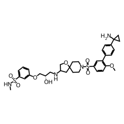 CNS(=O)(=O)c1cccc(OC[C@@H](O)CNC2COC3(CCN(S(=O)(=O)c4ccc(OC)c(-c5ccc(C6(N)CC6)cc5)c4)CC3)C2)c1